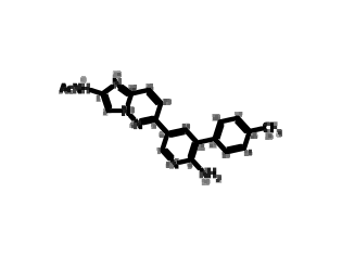 CC(=O)Nc1cn2nc(-c3cnc(N)c(-c4ccc(C(F)(F)F)cc4)c3)ccc2n1